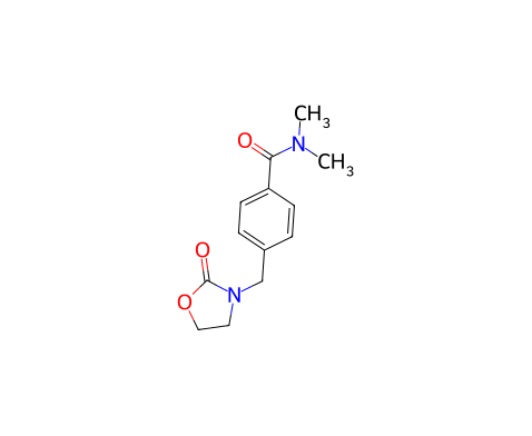 CN(C)C(=O)c1ccc(CN2CCOC2=O)cc1